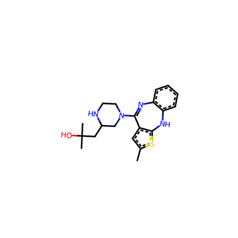 Cc1cc2c(s1)Nc1ccccc1N=C2N1CCNC(CC(C)(C)O)C1